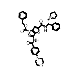 O=C(Nc1nn(C(=O)OCc2ccccc2)c2cc(C(=O)N[C@H](CN3CCCC3)c3ccccc3)sc12)c1ccc(N2CCOCC2)cc1